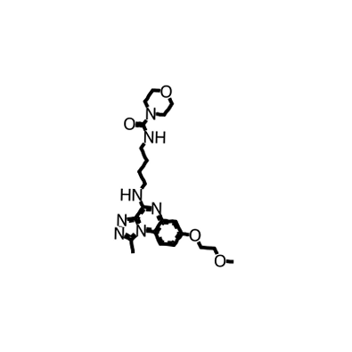 COCCOc1ccc2c(c1)nc(NCCCCNC(=O)N1CCOCC1)c1nnc(C)n12